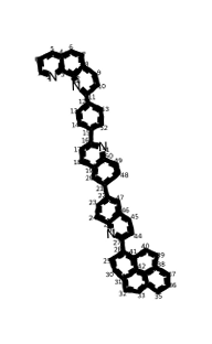 c1cnc2c(c1)ccc1ccc(-c3ccc(-c4ccc5cc(-c6ccc7nc(-c8ccc9ccc%10cccc%11ccc8c9c%10%11)ccc7c6)ccc5n4)cc3)nc12